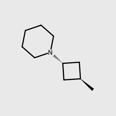 C[C@H]1C[C@H](N2CCCCC2)C1